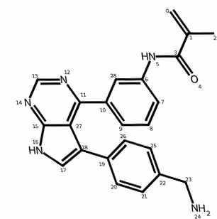 C=C(C)C(=O)Nc1cccc(-c2ncnc3[nH]cc(-c4ccc(CN)cc4)c23)c1